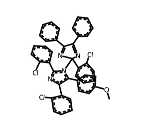 COc1ccc(-c2c(-c3ccccc3Cl)nc(-c3ccccc3Cl)n2C2(c3ccccc3Cl)N=C(c3ccccc3)C(c3ccccc3)=N2)cc1